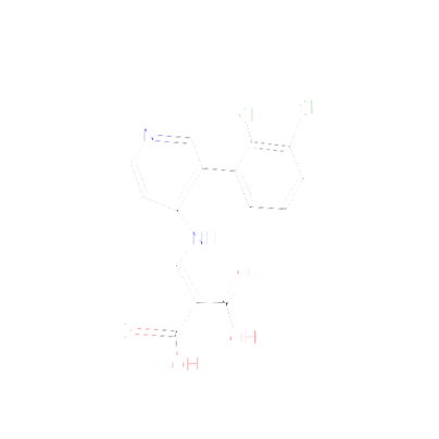 O=C(O)C(=CNc1ccncc1-c1cccc(Cl)c1Cl)C(=O)O